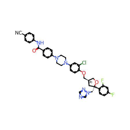 N#Cc1ccc(NC(=O)c2ccc(N3CCN(c4ccc(OC[C@H]5CO[C@@](Cn6cncn6)(c6ccc(F)cc6F)C5)c(Cl)c4)CC3)cc2)cc1